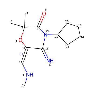 CN/C=C1/OC(C)(C)C(=O)N(C2CCCC2)C1=N